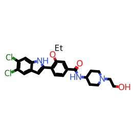 CCOc1cc(C(=O)NC2CCN(CCO)CC2)ccc1-c1cc2cc(Cl)c(Cl)cc2[nH]1